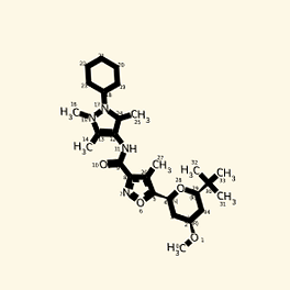 CO[C@H]1C[C@@H](c2onc(C(=O)NC3=C(C)N(C)N(C4CCCCC4)C3C)c2C)O[C@@H](C(C)(C)C)C1